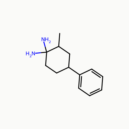 CC1CC(c2ccccc2)CCC1(N)N